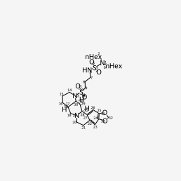 CCCCCCN(CCCCCC)S(=O)(=O)NCCCS(=O)(=O)N1CCC[C@@H]2CN3CCc4cc5c(cc4[C@@H]3C[C@@H]21)OCO5